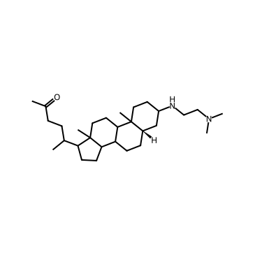 CC(=O)CCC(C)C1CCC2C3CC[C@H]4CC(NCCN(C)C)CCC4(C)C3CCC12C